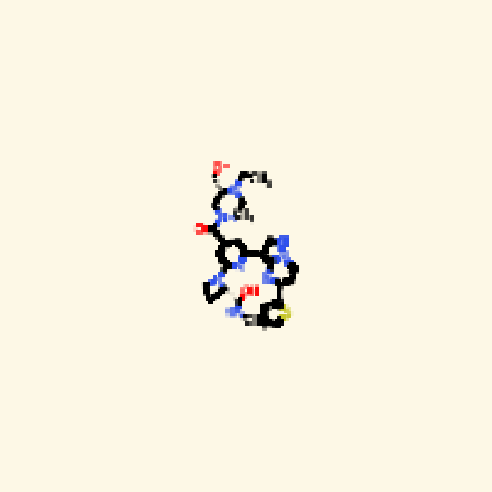 CCN(CC)[C@@H](CO)CNC(=O)c1cc(-c2cnn3ccc(-c4cccs4)nc23)nc(N2CC[C@H]2C(O)NC)c1